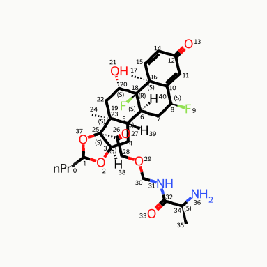 CCCC1O[C@@H]2C[C@H]3[C@@H]4C[C@H](F)C5=CC(=O)C=C[C@]5(C)[C@@]4(F)[C@@H](O)C[C@]3(C)[C@]2(C(=O)COCNC(=O)[C@H](C)N)O1